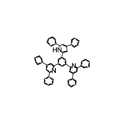 C1=C(c2ccccc2)C=C(c2cc(-c3cc(-c4ccccc4)cc(-c4ccccc4)n3)cc(-c3cc(-c4ccccc4)cc(-c4ccccc4)n3)c2)NC1c1ccccc1